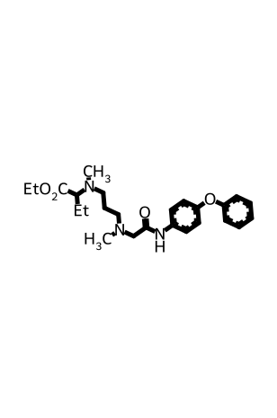 CCOC(=O)C(CC)N(C)CCCN(C)CC(=O)Nc1ccc(Oc2ccccc2)cc1